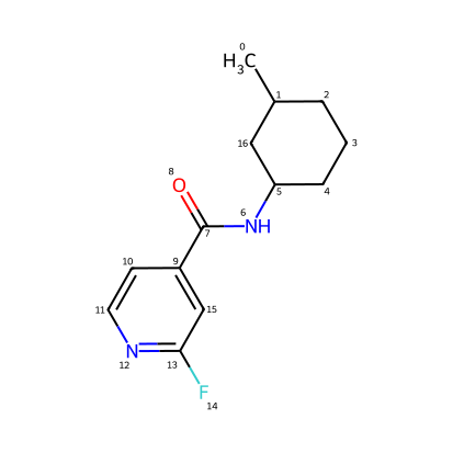 CC1CCCC(NC(=O)c2ccnc(F)c2)C1